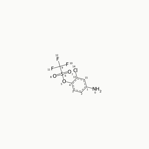 Nc1ccc(OS(=O)(=O)C(F)(F)F)c(Cl)c1